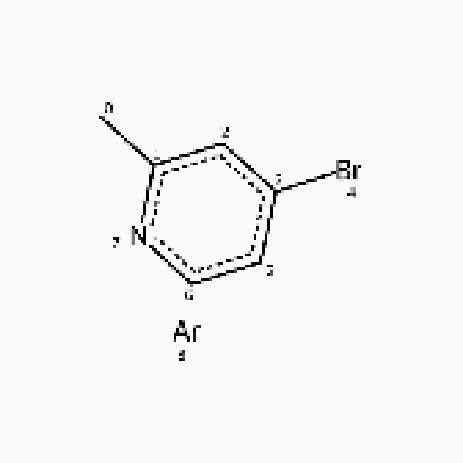 Cc1cc(Br)ccn1.[Ar]